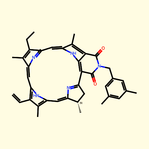 C=Cc1c(C)c2cc3nc(c4c5[nH]c(cc6nc(cc1[nH]2)C(C)=C6CC)c(C)c5C(=O)N(Cc1cc(C)cc(C)c1)C4=O)C[C@@H]3C